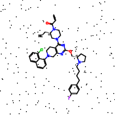 C=CC(=O)N1CCN(c2nc(OC[C@@H]3CCCN3CCCCc3ccc(I)cc3)nc3c2CCN(c2cccc4cccc(Cl)c24)C3)C[C@@H]1CC#N